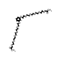 CC(=O)COCCOCCOCCOCCOCCOc1cccc(OCCOCCOCCOCCOCCOCC(C)=O)c1